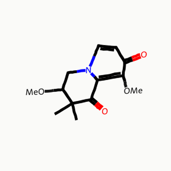 COc1c2n(ccc1=O)CC(OC)C(C)(C)C2=O